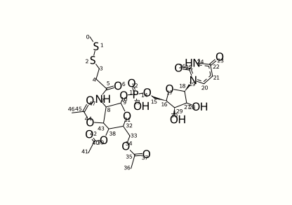 CSSCCC(=O)NC1C(OP(=O)(O)OC[C@H]2O[C@@H](n3ccc(=O)[nH]c3=O)C(O)[C@H]2O)OC(COC(C)=O)C(OC(C)=O)C1OC(C)=O